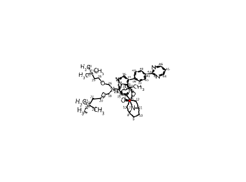 CC(C)(C)OC(=O)N1C2CCC1CC(c1cc(N(COCC[Si](C)(C)C)COCC[Si](C)(C)C)n3ncc(-c4ccc(-c5ncccn5)cc4)c3n1)C2